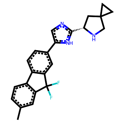 Cc1ccc2c(c1)C(F)(F)c1cc(-c3cnc([C@@H]4CC5(CC5)CN4)[nH]3)ccc1-2